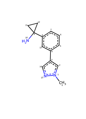 Cn1cc(-c2cccc(C3(N)CC3)c2)cn1